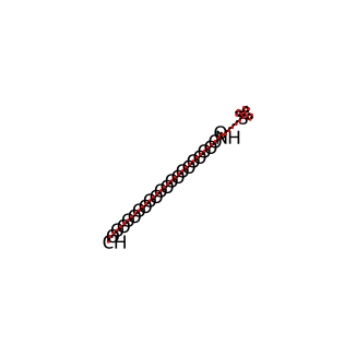 C#CCOCCOCCOCCOCCOCCOCCOCCOCCOCCOCCOCCOCCOCCOCCOCCOCCOCCOCCOCCOCCNC(=O)CCCCCCCCCCSC(c1ccccc1)(c1ccccc1)c1ccccc1